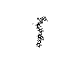 CC1(CNC(=O)OC(C)(C)C)CCN(c2cnc(Sc3cccc(NC(=O)CC4CCNCC4)c3Cl)cn2)CC1